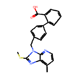 CSc1nc2c(C)ccnc2n1Cc1ccc(-c2ccccc2C(=O)O)cc1